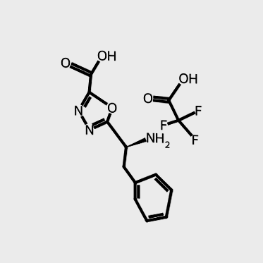 N[C@@H](Cc1ccccc1)c1nnc(C(=O)O)o1.O=C(O)C(F)(F)F